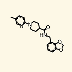 Cc1ccc(N2CCC(C(=O)NCc3cccc4c3OCO4)CC2)nc1